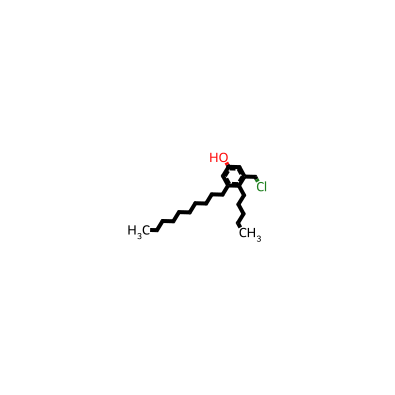 CCCCCCCCCCc1cc(O)cc(CCl)c1CCCCC